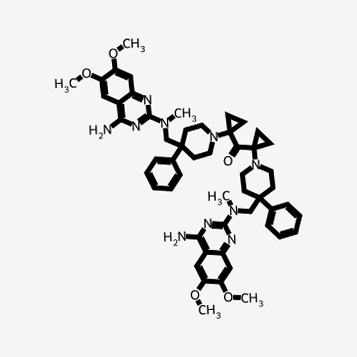 COc1cc2nc(N(C)CC3(c4ccccc4)CCN(C4(C(=O)C5(N6CCC(CN(C)c7nc(N)c8cc(OC)c(OC)cc8n7)(c7ccccc7)CC6)CC5)CC4)CC3)nc(N)c2cc1OC